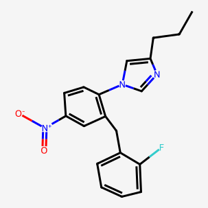 CCCc1cn(-c2ccc([N+](=O)[O-])cc2Cc2ccccc2F)cn1